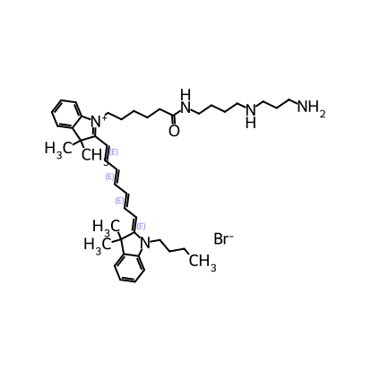 CCCCN1/C(=C/C=C/C=C/C=C/C2=[N+](CCCCCC(=O)NCCCCNCCCN)c3ccccc3C2(C)C)C(C)(C)c2ccccc21.[Br-]